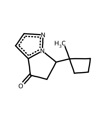 CC1(C2CC(=O)c3ccnn32)CCC1